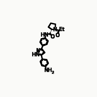 CCC(=O)N1CCC[C@H]1C(=O)Nc1ccc(-c2cc(-c3ccc(N)cc3)[nH]n2)cc1